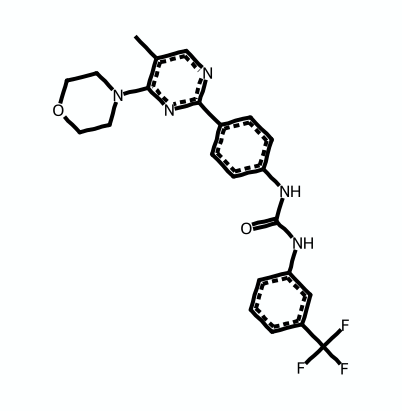 Cc1cnc(-c2ccc(NC(=O)Nc3cccc(C(F)(F)F)c3)cc2)nc1N1CCOCC1